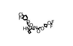 O=C(CO[C@H]1C[C@@H](OC(F)F)C1)NCCC1(NC(=O)COc2ccc(Cl)c(F)c2)CCC1